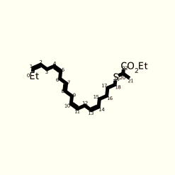 CC/C=C\C/C=C\C/C=C/C/C=C\C/C=C\CCCCSC(C)C(=O)OCC